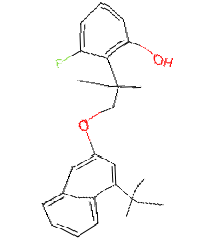 CC(C)(C)c1cc(OCC(C)(C)c2c(O)cccc2F)cc2ccccc12